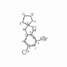 Clc1cc(Br)c2c(c1)CC1(CCCC1)O2